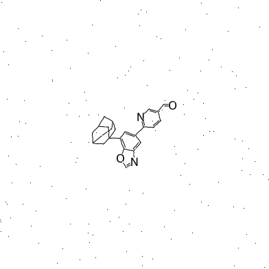 O=Cc1ccc(-c2cc(C34CC5CC(CC(C5)C3)C4)c3ocnc3c2)nc1